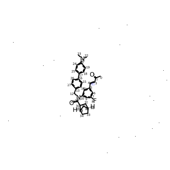 CC(=O)/C=C/c1cc(F)cc(N(Cc2ccc(-c3ccc(N(C)C)cc3)cc2)C(=O)C2C[C@H]3CC[C@@H]2C3)c1